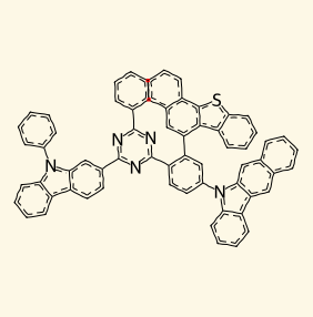 c1ccc(-c2nc(-c3ccc4c5ccccc5n(-c5ccccc5)c4c3)nc(-c3ccc(-n4c5ccccc5c5cc6ccccc6cc54)cc3-c3cc4ccccc4c4sc5ccccc5c34)n2)cc1